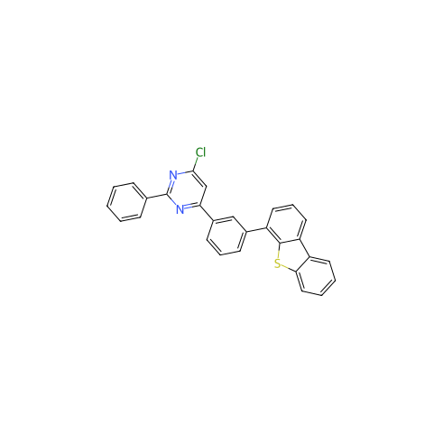 Clc1cc(-c2cccc(-c3cccc4c3sc3ccccc34)c2)nc(-c2ccccc2)n1